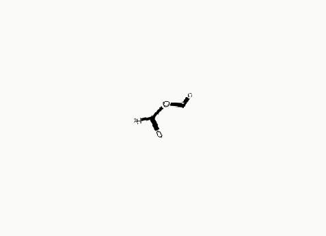 [2H]C(=O)OC=O